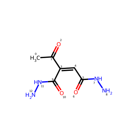 CC(=O)/C(=C/C(=O)NN)C(=O)NN